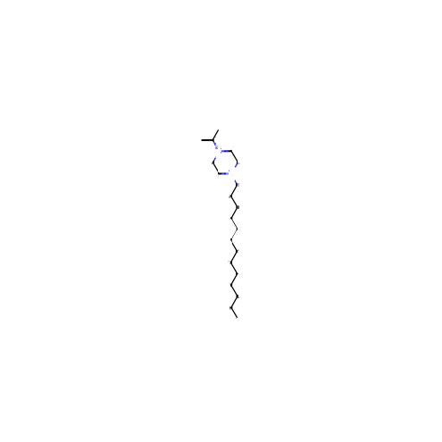 CCCCCCCCCCCCCN1CCN(C(C)C)CC1